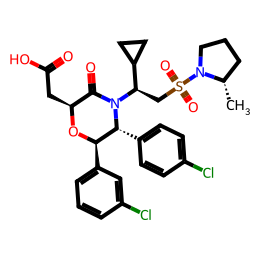 C[C@H]1CCCN1S(=O)(=O)C[C@H](C1CC1)N1C(=O)[C@H](CC(=O)O)O[C@H](c2cccc(Cl)c2)[C@H]1c1ccc(Cl)cc1